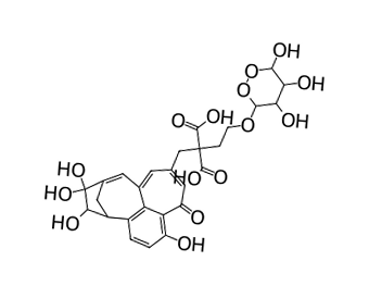 O=C(O)C(CCOC1OOC(O)C(O)C1O)(Cc1cc2c3c(ccc(O)c3c(=O)c1)C1CC(=C2)C(O)(O)C1O)C(=O)O